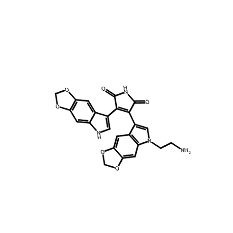 NCCn1cc(C2=C(c3c[nH]c4cc5c(cc34)OCO5)C(=O)NC2=O)c2cc3c(cc21)OCO3